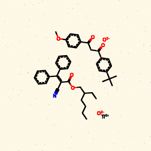 CCCCC(CC)COC(=O)C(C#N)=C(c1ccccc1)c1ccccc1.COc1ccc(C(=O)CC(=O)c2ccc(C(C)(C)C)cc2)cc1.[O-2].[O-2].[Ti+4]